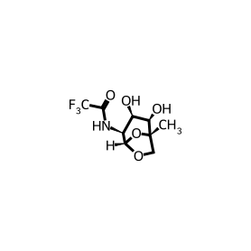 C[C@@]12CO[C@@H](O1)[C@@H](NC(=O)C(F)(F)F)[C@@H](O)[C@H]2O